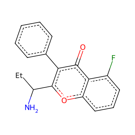 CCC(N)c1oc2cccc(F)c2c(=O)c1-c1ccccc1